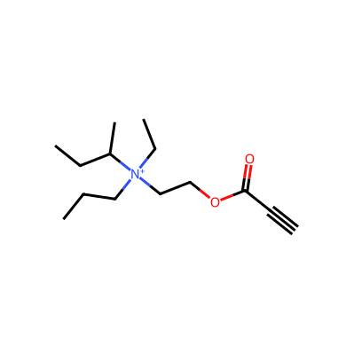 C#CC(=O)OCC[N+](CC)(CCC)C(C)CC